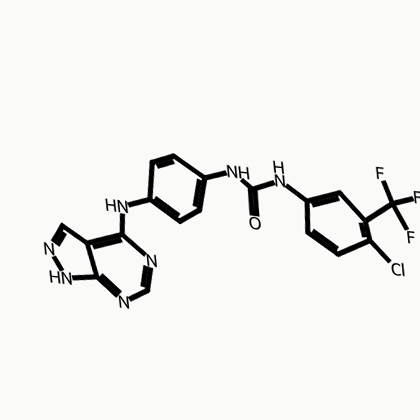 O=C(Nc1ccc(Nc2ncnc3[nH]ncc23)cc1)Nc1ccc(Cl)c(C(F)(F)F)c1